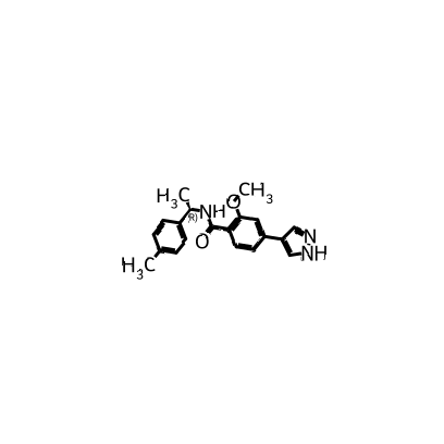 COc1cc(-c2cn[nH]c2)ccc1C(=O)N[C@H](C)c1ccc(C)cc1